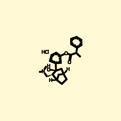 CC(C(=O)Oc1cccc([C@]2(O)C[C@@H]3CC[C@@H](C3)[C@@H]2CN(C)C)c1)c1ccccc1.Cl